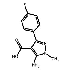 Cn1nc(-c2ccc(F)cc2)c(C(=O)O)c1N